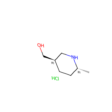 C[C@@H]1CC[C@@H](CO)CN1.Cl